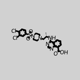 C[C@@H](CN1CCN(S(=O)(=O)c2ccc(Cl)c(Cl)c2)CC1)Nc1ncnc2c(C(=O)O)cccc12